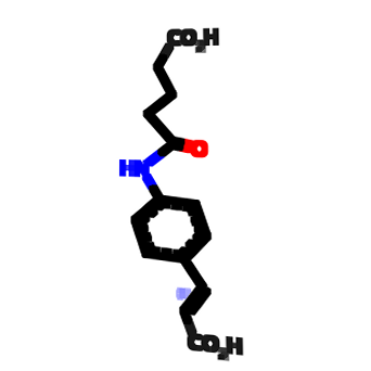 O=C(O)/C=C/c1ccc(NC(=O)CCCC(=O)O)cc1